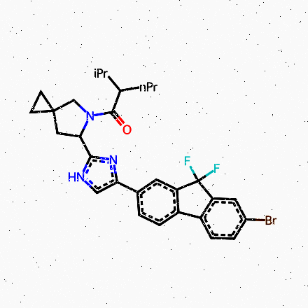 CCCC(C(=O)N1CC2(CC2)CC1c1nc(-c2ccc3c(c2)C(F)(F)c2cc(Br)ccc2-3)c[nH]1)C(C)C